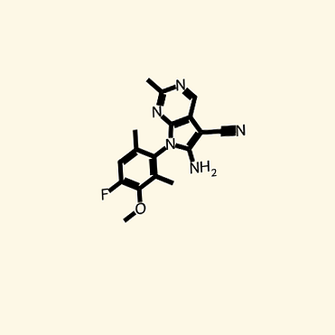 COc1c(F)cc(C)c(-n2c(N)c(C#N)c3cnc(C)nc32)c1C